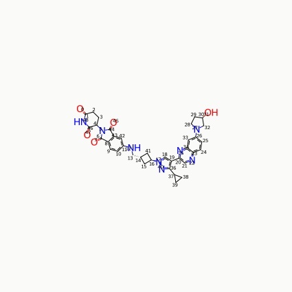 O=C1CCC(N2C(=O)c3ccc(NC[C@H]4C[C@H](n5cc(-c6cnc7ccc(N8CCC(O)C8)cc7n6)c(C6CC6)n5)C4)cc3C2=O)C(=O)N1